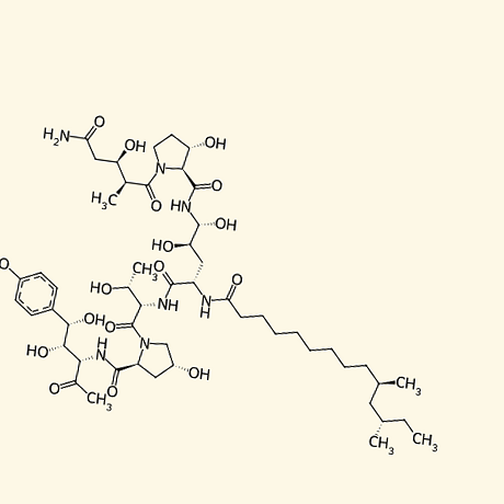 CC[C@H](C)C[C@H](C)CCCCCCCCC(=O)N[C@@H](C[C@@H](O)[C@@H](O)NC(=O)[C@@H]1[C@@H](O)CCN1C(=O)[C@@H](C)[C@H](O)CC(N)=O)C(=O)N[C@H](C(=O)N1C[C@H](O)C[C@H]1C(=O)N[C@H](C(C)=O)[C@H](O)[C@@H](O)c1ccc(O)cc1)[C@@H](C)O